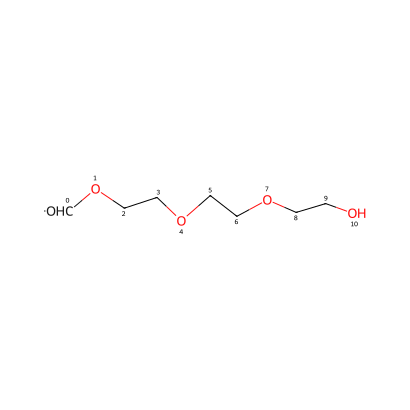 O=[C]OCCOCCOCCO